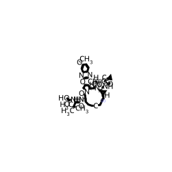 COc1ccc2nc(C)c(O[C@@H]3C[C@H]4C(=O)N[C@]5(C(=O)NS(=O)(=O)C6(C)CC6)C[C@H]5/C=C\CCCCC[C@H](NC(=O)[C@@H](NC(=O)O)C(C)(C)C)C(=O)N4C3)nc2c1